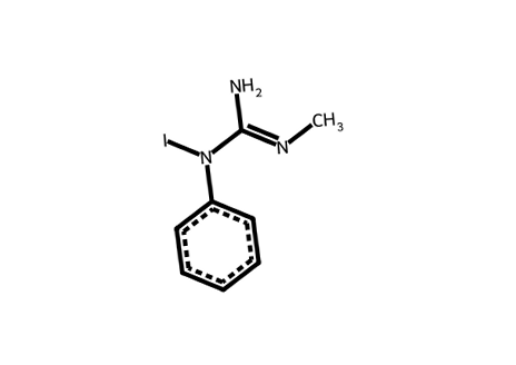 CN=C(N)N(I)c1ccccc1